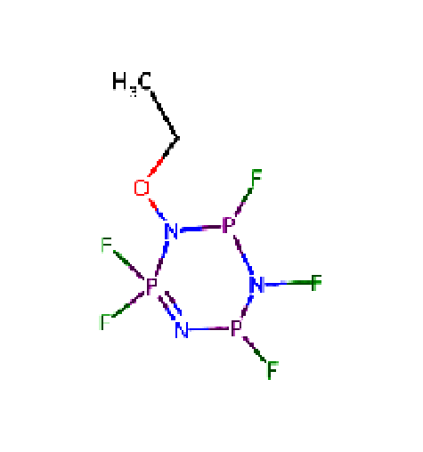 CCON1P(F)N(F)P(F)N=P1(F)F